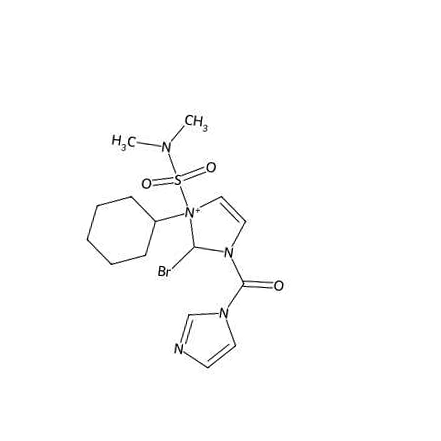 CN(C)S(=O)(=O)[N+]1(C2CCCCC2)C=CN(C(=O)n2ccnc2)C1Br